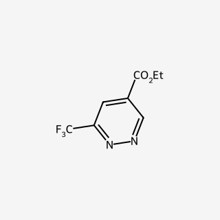 CCOC(=O)c1cnnc(C(F)(F)F)c1